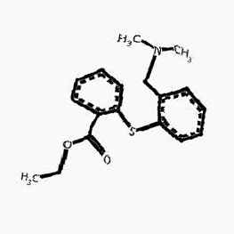 CCOC(=O)c1ccccc1Sc1ccccc1CN(C)C